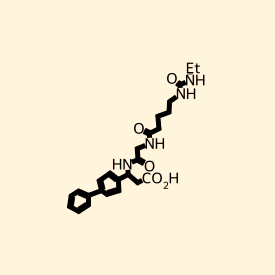 CCNC(=O)NCCCCC(=O)NCC(=O)NC(CC(=O)O)c1ccc(-c2ccccc2)cc1